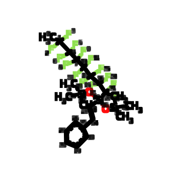 CC(F)(F)C(F)(F)C(F)(F)C(F)(F)C(F)(F)C(F)(F)C(F)(F)[Si](C=Cc1ccccc1)(O[Si](C)(C)C)O[Si](C)(C)C